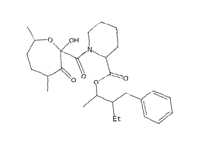 CCC(Cc1ccccc1)C(C)OC(=O)C1CCCCN1C(=O)C1(O)OC(C)CCC(C)C1=O